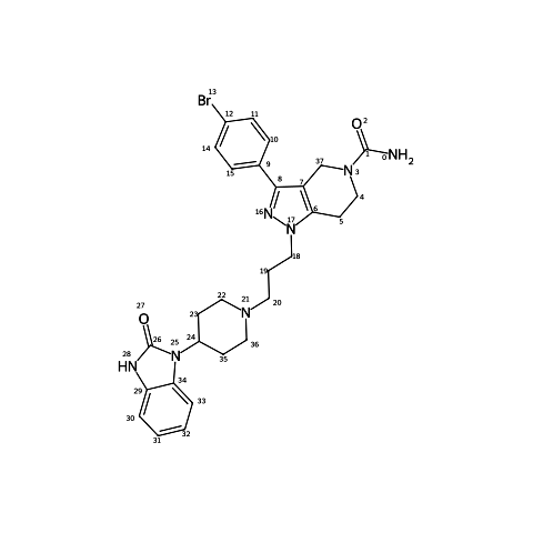 NC(=O)N1CCc2c(c(-c3ccc(Br)cc3)nn2CCCN2CCC(n3c(=O)[nH]c4ccccc43)CC2)C1